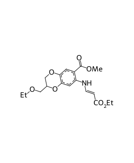 CCOCC1COc2cc(C(=O)OC)c(NC=CC(=O)OCC)cc2O1